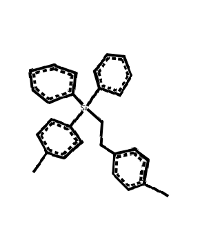 Cc1ccc(CC[Si](c2ccccc2)(c2ccccc2)c2ccc(C)cc2)cc1